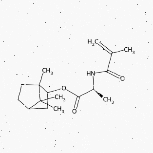 C=C(C)C(=O)N[C@@H](C)C(=O)OC1CC2CCC1(C)C2(C)C